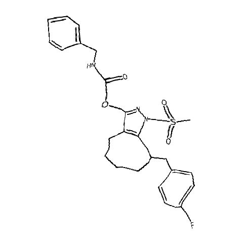 CS(=O)(=O)n1nc(OC(=O)NCc2ccccc2)c2c1C(Cc1ccc(F)cc1)CCCC2